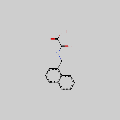 O=C(O)C(=O)NCc1cccc2ccccc12